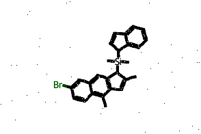 CC1=Cc2c(cc3cc(Br)ccc3c2C)C1[Si](C)(C)C1C=Cc2ccccc21